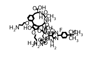 CCC(C)(C)c1ccc(-c2nc(C)c(C(=O)N[C@@H](CNS(N)(=O)=O)C(=O)N(C)[C@@H]3C(=O)N[C@@H](C)C(=O)N[C@H](C(=O)O)Cc4ccc(OCCCN)c(c4)-c4cc3cc(OCCCN)c4O)c(N)n2)c(F)c1